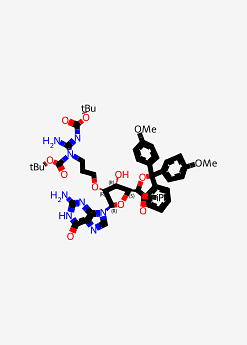 COc1ccc(C(OC(C(=O)C(C)C)[C@H]2O[C@@H](n3cnc4c(=O)[nH]c(N)nc43)[C@H](OCCCN(C(=O)OC(C)(C)C)C(N)=NC(=O)OC(C)(C)C)[C@@H]2O)(c2ccccc2)c2ccc(OC)cc2)cc1